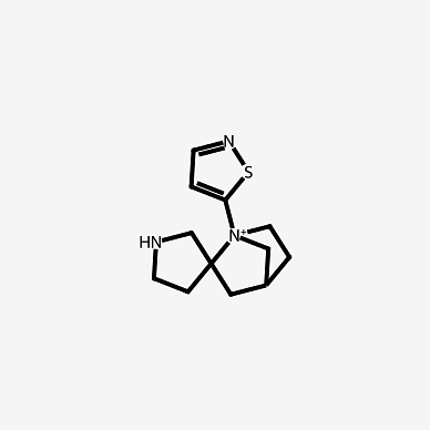 c1cc([N+]23CCC(CC24CCNC4)C3)sn1